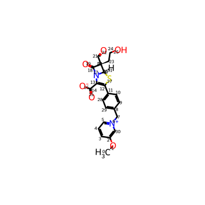 COc1ccc[n+](Cc2ccc(C3=C(C(=O)[O-])N4C(=O)[C@@](C=O)(CCO)[C@H]4S3)cc2)c1